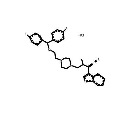 CC(CN1CCN(CCOC(c2ccc(F)cc2)c2ccc(F)cc2)CC1)C(=C=O)c1csc2ccccc12.Cl